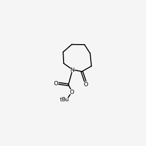 CC(C)(C)OC(=O)N1CCCCCCC1=O